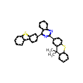 CC1(C)c2ccccc2Sc2ccc(-c3nc(-c4ccc5c(c4)sc4ccccc45)c4ccccc4n3)cc21